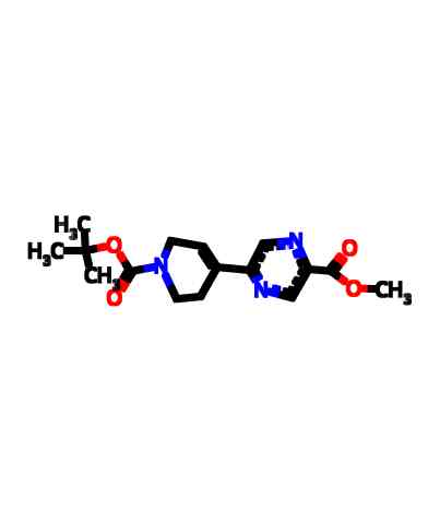 COC(=O)c1cnc(C2=CCN(C(=O)OC(C)(C)C)CC2)cn1